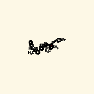 Cc1c(Nc2nc3ccccc3s2)nnc2c1CCCN2c1ccc(-c2cnn(CC34CC5(C)CC(C)(C3)CC(OCCN3CCN(C(C)C)CC3)(C5)C4)c2C)c(C(=O)O)n1